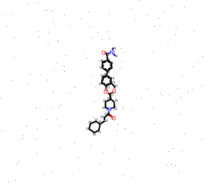 CN(C)C(=O)c1ccc(-c2ccc3c(c2)COC(C2CCN(C(=O)CCC4CCCCC4)CC2)O3)cc1